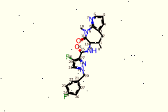 C[C@@H]1Cc2cccnc2N(C)C(=O)C1NC(=O)c1nn(Cc2ccc(F)cc2)cc1F